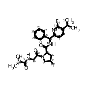 CC(C)c1ccc(C(NC(=O)C2CC(F)CN2C(=O)CNC(=O)N(C)C)c2ccccc2)nc1F